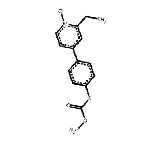 CCc1cc(-c2ccc(SC(=O)OC)cc2)cc[n+]1[O-]